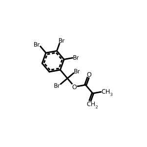 C=C(C)C(=O)OC(Br)(Br)c1ccc(Br)c(Br)c1Br